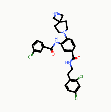 O=C(NCCc1ccc(Cl)cc1Cl)c1ccc(N2CCC3(CC2)CNC3)c(NC(=O)c2cccc(Cl)c2)c1